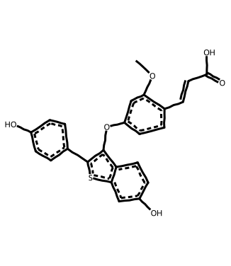 COc1cc(Oc2c(-c3ccc(O)cc3)sc3cc(O)ccc23)ccc1C=CC(=O)O